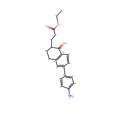 CCOC(=O)CCC1CCc2cc(-c3ccc(N)cc3)ccc2C1=O